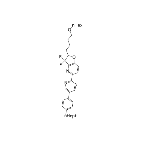 CCCCCCCc1ccc(-c2cnc(-c3ccc4c(n3)C(F)(F)C(CCCCOCCCCCC)O4)nc2)cc1